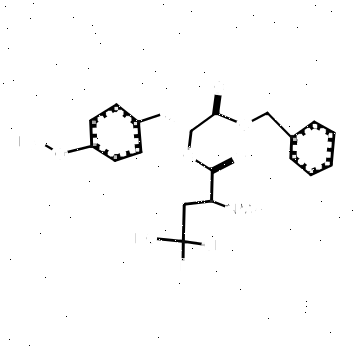 CNC(CC(C)(C)F)C(=O)O[C@H](Cc1ccc(OC(F)(F)F)cc1)C(=O)OCc1ccccc1